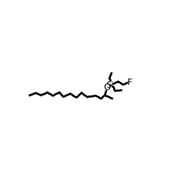 CCCCCCCCCCCCCC(C)O[Si](CC)(CC)CCF